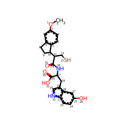 COc1ccc2c(c1)CCC2C(CS)C(=O)NC(Cc1c[nH]c2ccc(O)cc12)C(=O)O